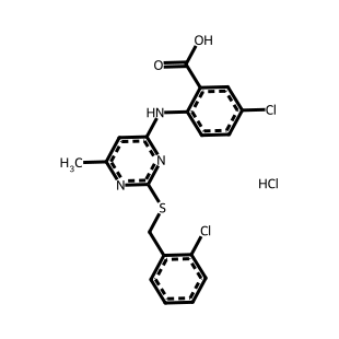 Cc1cc(Nc2ccc(Cl)cc2C(=O)O)nc(SCc2ccccc2Cl)n1.Cl